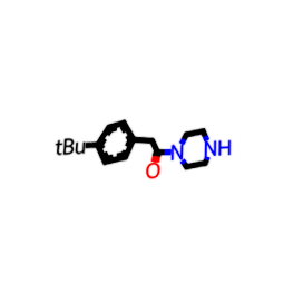 CC(C)(C)c1ccc(CC(=O)N2CCNCC2)cc1